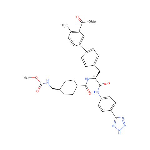 COC(=O)c1cc(-c2ccc(C[C@H](NC(=O)[C@H]3CC[C@H](CNC(=O)OC(C)(C)C)CC3)C(=O)Nc3ccc(-c4nn[nH]n4)cc3)cc2)ccc1C